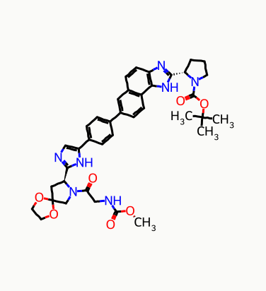 COC(=O)NCC(=O)N1CC2(C[C@H]1c1ncc(-c3ccc(-c4ccc5c(ccc6nc([C@@H]7CCCN7C(=O)OC(C)(C)C)[nH]c65)c4)cc3)[nH]1)OCCO2